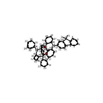 CC1(C)c2ccccc2-c2ccc(N(c3ccc4c(c3)C3(c5ccccc5-4)c4ccccc4N(c4ccccc4)c4ccccc43)c3ccccc3-c3ccccc3)cc21